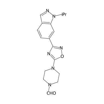 CC(C)n1ncc2ccc(-c3noc(N4CCN(C=O)CC4)n3)cc21